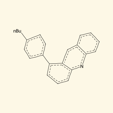 CCCCc1ccc(-c2cccc3nc4ccccc4cc23)cc1